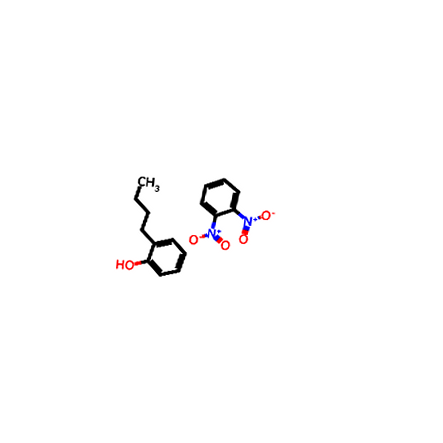 CCCCc1ccccc1O.O=[N+]([O-])c1ccccc1[N+](=O)[O-]